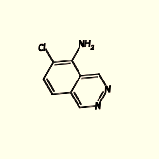 Nc1c(Cl)ccc2cnncc12